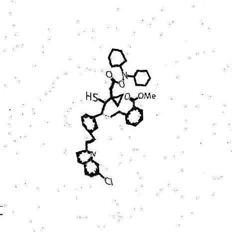 COC(=O)c1ccccc1CC[C@H](c1cccc(C=Cc2ccc3ccc(Cl)cc3n2)c1)C(S)C1(CC(=O)ON(C2CCCCC2)C2CCCCC2)CC1